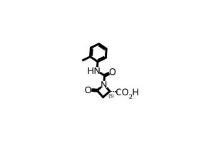 Cc1ccccc1NC(=O)N1C(=O)C[C@H]1C(=O)O